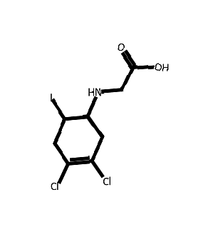 O=C(O)CNC1CC(Cl)=C(Cl)CC1I